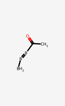 BB=BC(C)=O